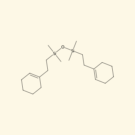 C[Si](C)(CCC1=CCCCC1)O[Si](C)(C)CCC1=CCCCC1